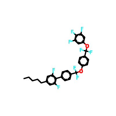 CCCCCc1cc(F)c(-c2ccc(C(F)(F)Oc3ccc(C(F)(F)Oc4cc(F)c(F)c(F)c4)cc3)cc2)c(F)c1